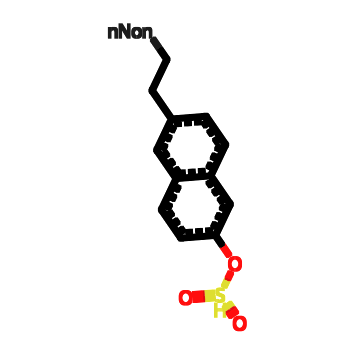 CCCCCCCCCCCc1ccc2cc(O[SH](=O)=O)ccc2c1